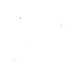 CCCCN(CCO)CC(C)(C)C